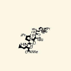 CNC(=O)C(=O)C(CC1CC1)NC(=O)[C@@H]1C[C@@H](C(C)C)CN1C(=O)[C@@H](NC(=O)N[C@H](CN1CCN(C(C)C)S1(=O)=O)C(C)(C)C)C(C)(C)C